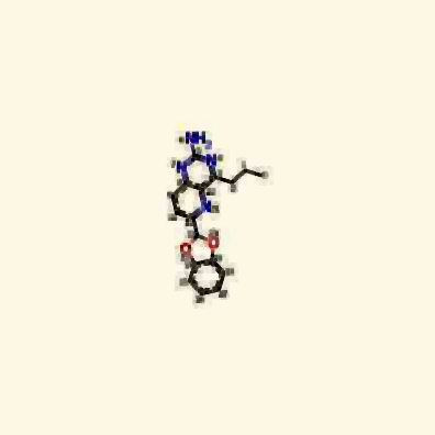 CCCc1nc(N)nc2ccc(C3Oc4ccccc4O3)nc12